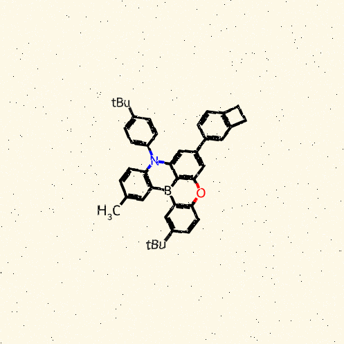 Cc1ccc2c(c1)B1c3cc(C(C)(C)C)ccc3Oc3cc(-c4ccc5c(c4)CC5)cc(c31)N2c1ccc(C(C)(C)C)cc1